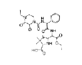 CCOC(=O)C(NC(=O)C(NC(=O)N1CCN(CC)C(=O)C1=O)c1ccccc1)C1NC(C(=O)O)C(C)(C)S1